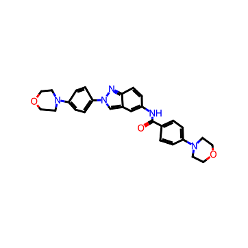 O=C(Nc1ccc2nn(-c3ccc(N4CCOCC4)cc3)cc2c1)c1ccc(N2CCOCC2)cc1